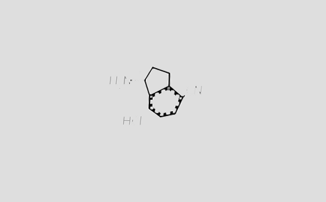 Cl.N#Cc1cccc2c1CC[C@H]2N